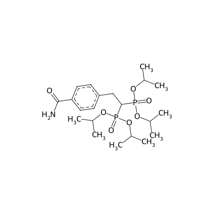 CC(C)OP(=O)(OC(C)C)C(Cc1ccc(C(N)=O)cc1)P(=O)(OC(C)C)OC(C)C